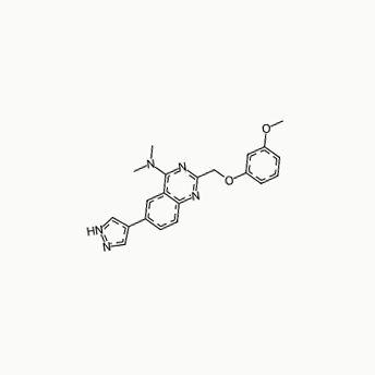 COc1cccc(OCc2nc(N(C)C)c3cc(-c4cn[nH]c4)ccc3n2)c1